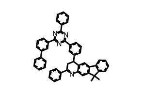 CC1(C)c2ccccc2-c2cc3c(cc21)N=C(c1ccccc1)CC3c1cccc(-c2nc(-c3ccccc3)nc(-c3cccc(-c4ccccc4)c3)n2)c1